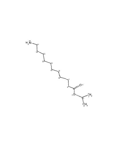 CC(C)OC(=O)CCCCCCCCCCN